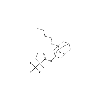 CCOCOC12CC3CC(C1)CC(OC(=O)C(C)(CC)C(F)(F)F)(C3)C2